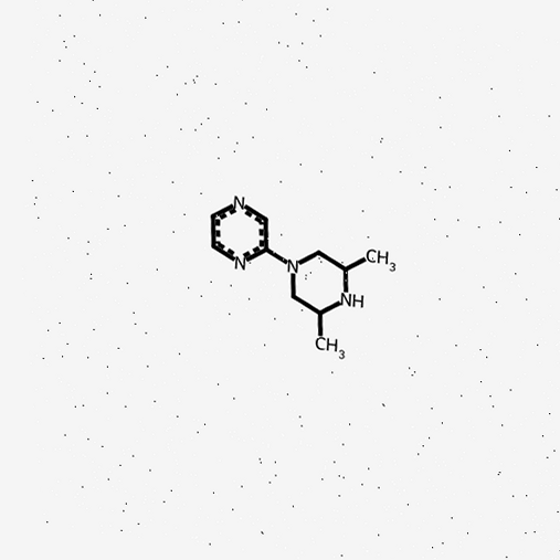 CC1CN(c2cnccn2)CC(C)N1